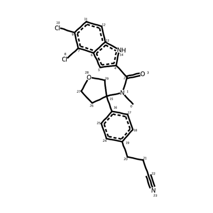 CN(C(=O)c1cc2c(Cl)c(Cl)ccc2[nH]1)C1(c2ccc(CCC#N)cc2)CCOC1